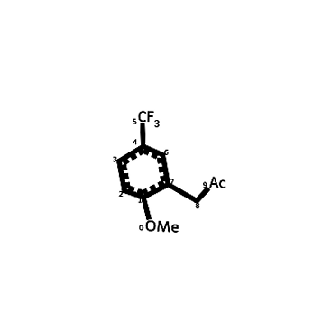 COc1ccc(C(F)(F)F)cc1CC(C)=O